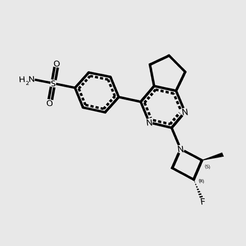 C[C@H]1[C@H](F)CN1c1nc2c(c(-c3ccc(S(N)(=O)=O)cc3)n1)CCC2